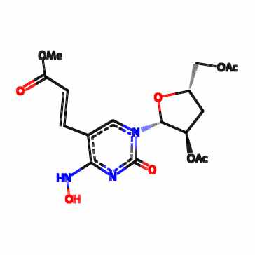 COC(=O)C=Cc1cn([C@@H]2O[C@H](COC(C)=O)C[C@H]2OC(C)=O)c(=O)nc1NO